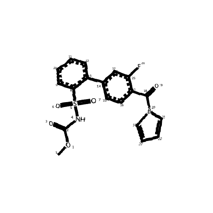 COC(=O)NS(=O)(=O)c1ccccc1-c1ccc(C(=O)B2C=CC=C2)c(F)c1